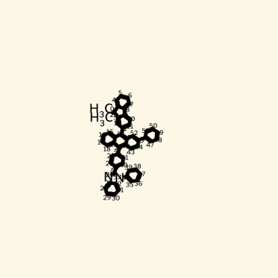 CC1(C)c2ccccc2-c2ccc(-c3c4ccccc4c(-c4ccc(-c5nc6ccccc6n5-c5ccccc5)cc4)c4ccc(-c5ccccc5)cc34)cc21